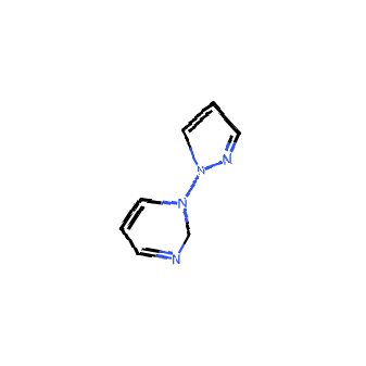 C1=CN(n2cccn2)CN=C1